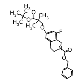 CC(C)(C)OC(=O)C(C)(C)COc1cc(F)c2c(c1)CCN(C(=O)OCc1ccccc1)C2